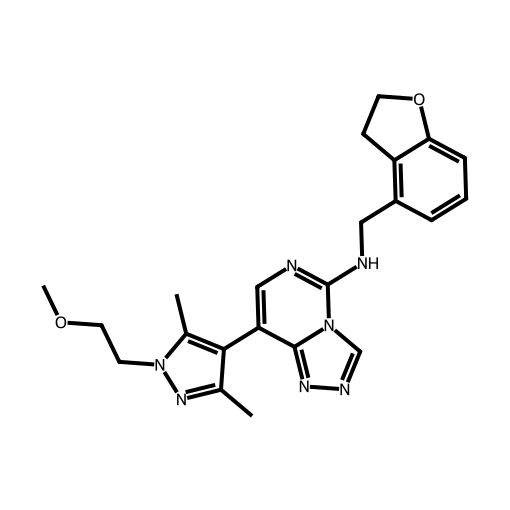 COCCn1nc(C)c(-c2cnc(NCc3cccc4c3CCO4)n3cnnc23)c1C